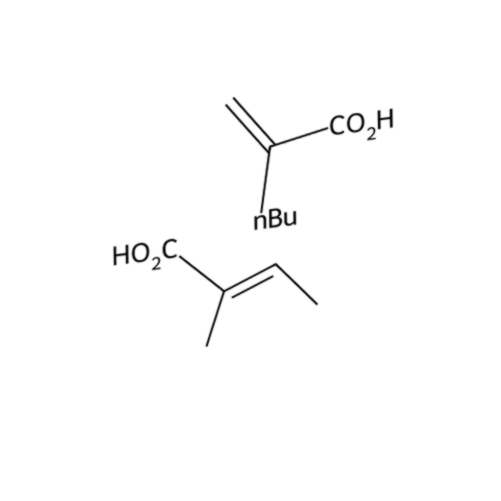 C=C(CCCC)C(=O)O.CC=C(C)C(=O)O